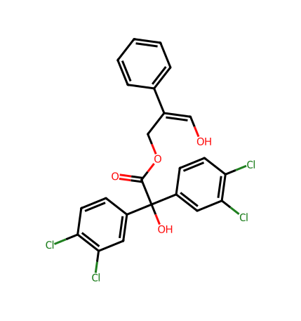 O=C(OCC(=CO)c1ccccc1)C(O)(c1ccc(Cl)c(Cl)c1)c1ccc(Cl)c(Cl)c1